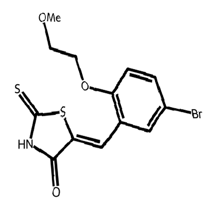 COCCOc1ccc(Br)cc1/C=C1\SC(=S)NC1=O